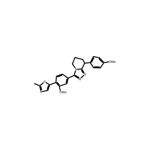 COc1ccc(C2CCCn3c(-c4ccc(-c5cnc(C)o5)c(OC)c4)nnc32)cc1